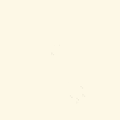 O=C(NCCc1ccc(-c2nn[nH]n2)cc1)OCc1ccccc1